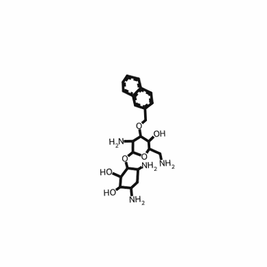 NCC1OC(OC2C(N)CC(N)C(O)C2O)C(N)C(OCc2ccc3ccccc3c2)C1O